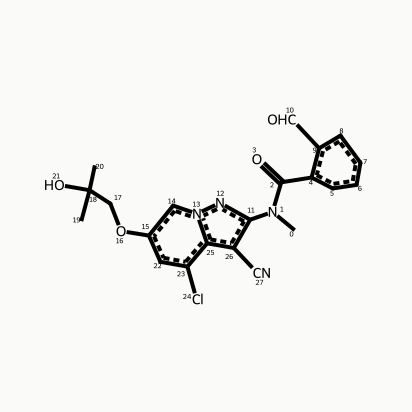 CN(C(=O)c1ccccc1C=O)c1nn2cc(OCC(C)(C)O)cc(Cl)c2c1C#N